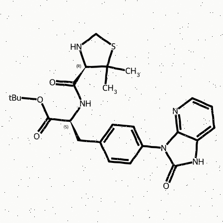 CC(C)(C)OC(=O)[C@H](Cc1ccc(-n2c(=O)[nH]c3cccnc32)cc1)NC(=O)[C@H]1NCSC1(C)C